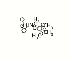 COc1cc(OC(C)NC[C@@H]2CC(C3CCCC3)Oc3ccccc32)cc(OC)c1OC